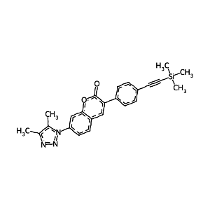 Cc1nnn(-c2ccc3cc(-c4ccc(C#C[Si](C)(C)C)cc4)c(=O)oc3c2)c1C